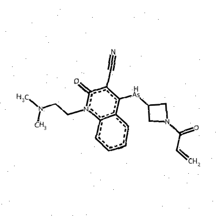 C=CC(=O)N1CC([AsH]c2c(C#N)c(=O)n(CCN(C)C)c3ccccc23)C1